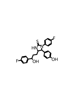 Oc1ccc(C2C(CCC(O)c3ccc(F)cc3)NC(=S)N2c2ccc(F)cc2)cc1